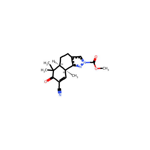 COC(=O)n1cc2c(n1)[C@@]1(C)C=C(C#N)C(=O)C(C)(C)[C@H]1CC2